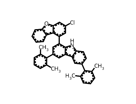 Cc1cccc(C)c1-c1ccc2[nH]c3c(-c4cc(Cl)cc5oc6ccccc6c45)cc(-c4c(C)cccc4C)cc3c2c1